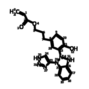 C=CC(=O)OCCCc1ccc(O)c(N2Nc3ccccc3N2c2c[nH]nn2)c1